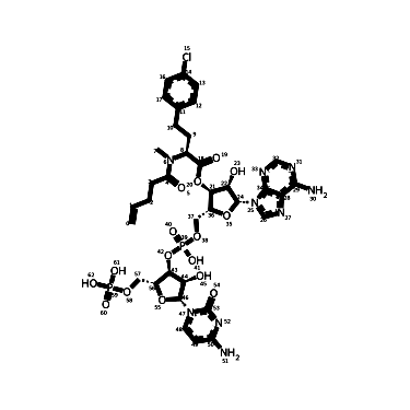 C=CCCC(=O)N(C)[C@@H](CCc1ccc(Cl)cc1)C(=O)O[C@H]1[C@@H](O)[C@H](n2cnc3c(N)ncnc32)O[C@@H]1COP(=O)(O)O[C@H]1[C@@H](O)[C@H](n2ccc(N)nc2=O)O[C@@H]1COP(=O)(O)O